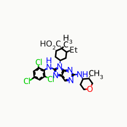 CCC1C[C@@H](n2c(Nc3c(Cl)cc(Cl)cc3Cl)nc3cnc(N[C@@H]4CCOC[C@H]4C)nc32)CC[C@]1(C)C(=O)O